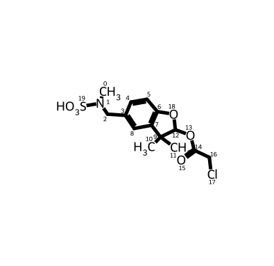 CN(Cc1ccc2c(c1)C(C)(C)C(OC(=O)CCl)O2)S(=O)(=O)O